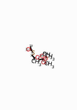 COC(COC(C)CSC1CO1)(OC)OC